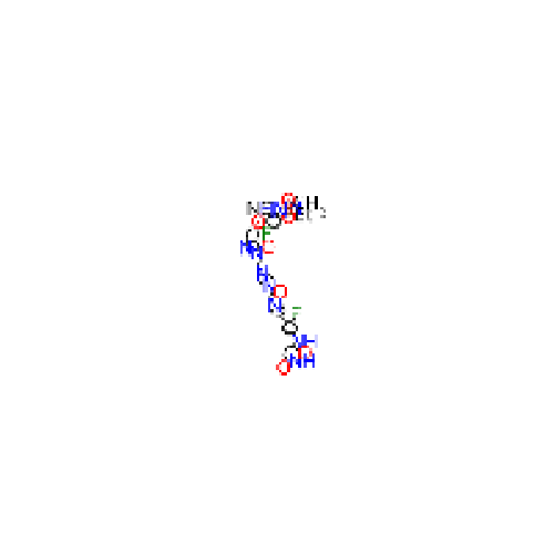 CCN(C)S(=O)(=O)Nc1ccc(F)c(Oc2ccc3ncn(CCN4CCN(C(=O)CN5CCC(c6ccc(NC7CCC(=O)NC7=O)cc6F)CC5)CC4)c(=O)c3c2)c1C#N